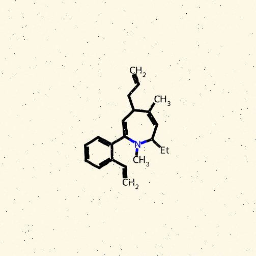 C=CCC1C=C(c2ccccc2C=C)N(C)C(CC)C=C1C